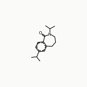 CC(C)c1ccc2c(c1)CCCN(C(C)C)C2=O